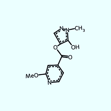 COc1cc(C(=O)Oc2cnn(C)c2O)ccn1